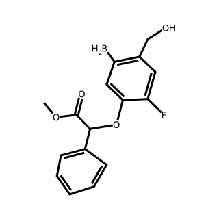 Bc1cc(OC(C(=O)OC)c2ccccc2)c(F)cc1CO